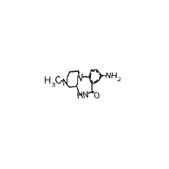 CN1CCN2c3ccc(N)cc3C(=O)NCC2C1